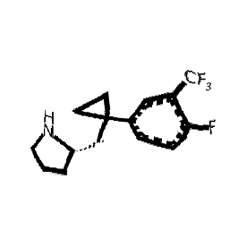 Fc1ccc(C2([CH][C@@H]3CCCN3)CC2)cc1C(F)(F)F